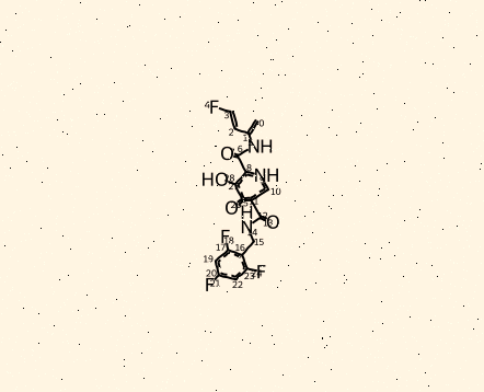 C=C(/C=C/F)NC(=O)c1[nH]cc(C(=O)NCc2c(F)cc(F)cc2F)c(=O)c1O